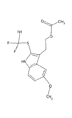 [2H]C(F)(F)Sc1[nH]c2ccc(OC)cc2c1CCOC(C)=O